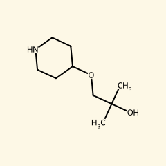 CC(C)(O)COC1CCNCC1